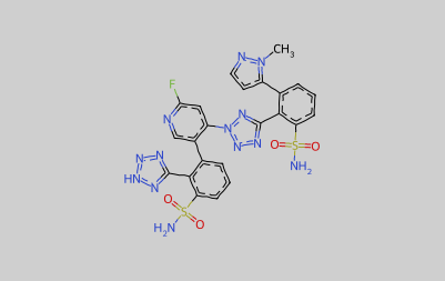 Cn1nccc1-c1cccc(S(N)(=O)=O)c1-c1nnn(-c2cc(F)ncc2-c2cccc(S(N)(=O)=O)c2-c2nn[nH]n2)n1